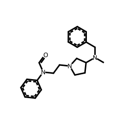 CN(Cc1ccccc1)C1CCN(CCN(C=O)c2ccccc2)C1